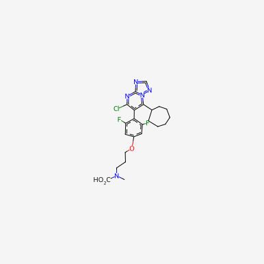 CN(CCCOc1cc(F)c(-c2c(Cl)nc3ncnn3c2C2CCCCCC2)c(F)c1)C(=O)O